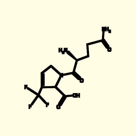 NC(=O)CC[C@H](N)C(=O)N1CC=C(C(F)(F)F)C1C(=O)O